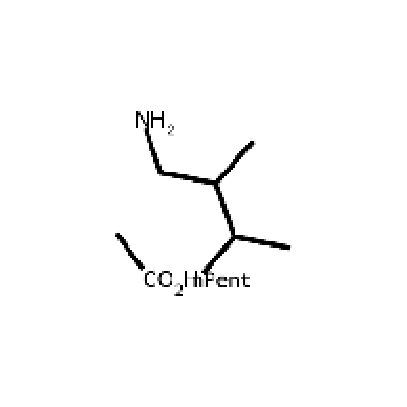 CC(=O)O.CCCCCC(C)C(C)CN